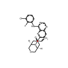 C=CC(=O)N1[C@@H]2COC[C@H]1CN(c1ccc3ncnc(Nc4cccc(Cl)c4F)c3n1)C2